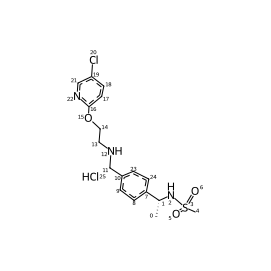 C[C@@H](NS(C)(=O)=O)c1ccc(CNCCOc2ccc(Cl)cn2)cc1.Cl